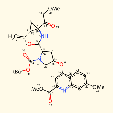 C=C[C@@H]1C[C@]1(NC(=O)[C@@H]1C[C@@H](Oc2cc(C(=O)OC)nc3cc(OC)ccc23)CN1C(=O)OC(C)(C)C)C(=O)COC